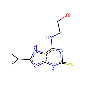 OCCNc1nc(=S)[nH]c2nc(C3CC3)[nH]c12